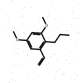 C=Cc1cc(OC)cc(OC)c1CCC